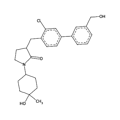 CC1(O)CCC(N2CCC(Cc3ccc(-c4cccc(CO)c4)cc3Cl)C2=O)CC1